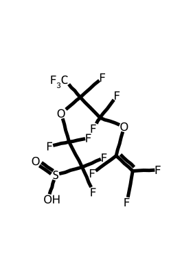 O=S(O)C(F)(F)C(F)(F)OC(F)(C(F)(F)F)C(F)(F)OC(F)=C(F)F